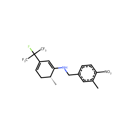 Cc1cc(CNC2=CC(C(F)(C(F)(F)F)C(F)(F)F)=CC[C@H]2C)ccc1[N+](=O)[O-]